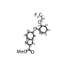 COC(=O)c1cc2cc(Oc3ncccc3OCC(F)(F)F)ccn2n1